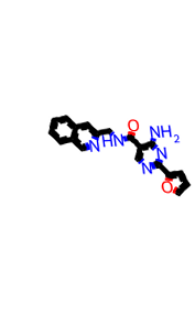 Nc1nc(-c2ccco2)ncc1C(=O)NCc1cc2ccccc2cn1